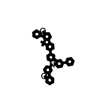 CC1(C)c2cc(-c3ccc4c(c3)c3cc(-c5ccccc5)ccc3n4-c3ccc4oc5ccccc5c4c3)ccc2-c2ccc3oc4ccccc4c3c21